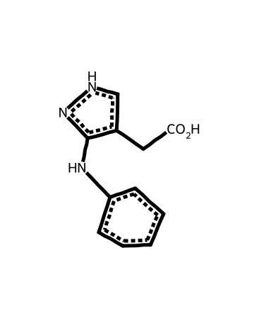 O=C(O)Cc1c[nH]nc1Nc1ccccc1